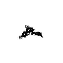 CCc1ccc(C2CC(C(F)(F)F)n3ncc(C(=O)NCc4ccc(C)s4)c3N2)cc1